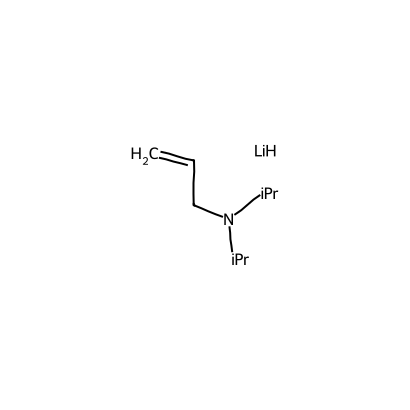 C=CCN(C(C)C)C(C)C.[LiH]